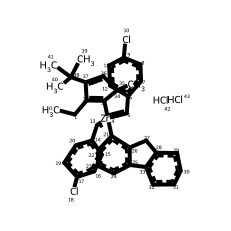 CCC1=[C]([Zr](=[CH]c2ccc(Cl)cc2)(=[CH]c2ccc(Cl)cc2)[c]2cccc3c2Cc2ccccc2-3)C(C)C=C1C(C)(C)C.Cl.Cl